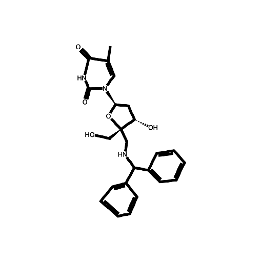 Cc1cn([C@H]2C[C@H](O)[C@](CO)(CNC(c3ccccc3)c3ccccc3)O2)c(=O)[nH]c1=O